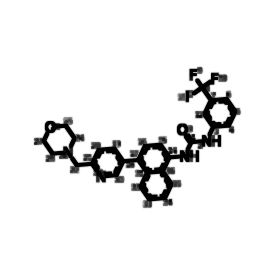 O=C(Nc1cccc(C(F)(F)F)c1)Nc1ccc(-c2ccc(CN3CCOCC3)nc2)c2ccccc12